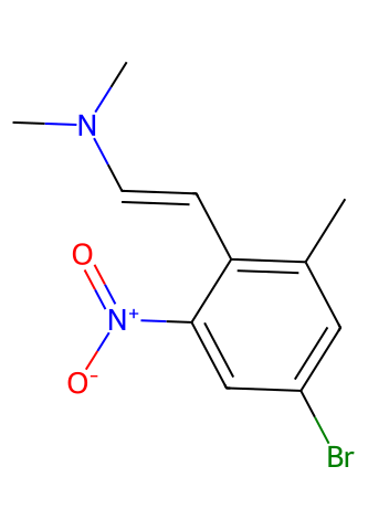 Cc1cc(Br)cc([N+](=O)[O-])c1C=CN(C)C